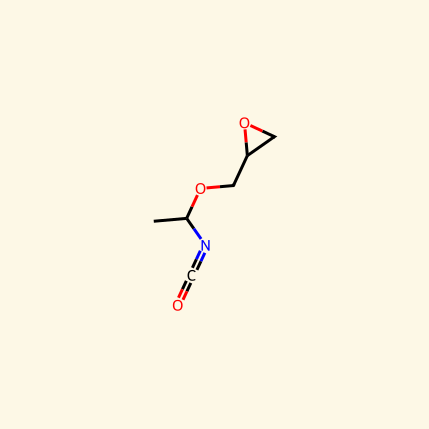 CC(N=C=O)OCC1CO1